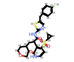 O=C(Nc1ncc(Cc2ccc(F)cc2)s1)C(CC1CCOCC1)c1c(S(=O)(=O)C2CC2)cc[nH]c1=O